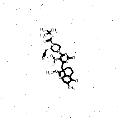 COC(=O)C1(Cc2nc(Cl)nc(N3CCN(C(=O)OC(C)(C)C)[C@@H](CC#N)C3)c2[N+](=O)[O-])CCCc2c1ccc(C)c2Cl